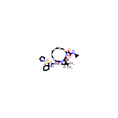 CC1(C)[C@@H]2[C@H]3C(=O)N[C@H](C(=O)C(=O)NC4CC4)CCCCCCCCC[C@H](NC(=O)NC4(CS(=O)(=O)N5CCCC5)CCCCC4)C(=O)N3C[C@@H]21